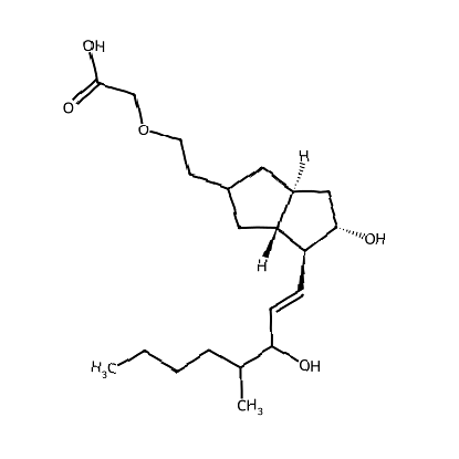 CCCCC(C)C(O)C=C[C@H]1[C@@H]2CC(CCOCC(=O)O)C[C@H]2C[C@@H]1O